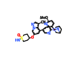 COc1ccc(CN2C3CC2CN(c2ccc(-c4cc(OC5CCS(=N)(=O)CC5)cn5ncc(C#N)c45)cn2)C3)cn1